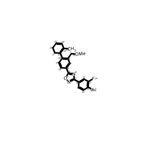 COCc1cc(-c2nc(-c3ccc(C(C)=O)c(F)c3)no2)ccc1C1=C(C)C=CCC1